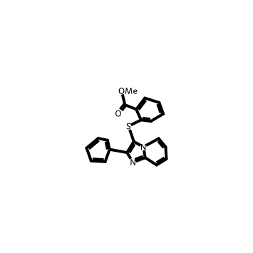 COC(=O)c1ccccc1Sc1c(-c2ccccc2)nc2ccccn12